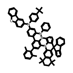 Cc1cccc(C)c1-c1cc2c3c(c1)N1c4cc5c(cc4C4(c6ccccc6-c6ccccc64)c4cccc(c41)B3N(c1ccccc1)c1cc(N(c3ccc(C(C)(C)C)cc3)c3ccc4oc6ccccc6c4c3)ccc1-2)C(C)(C)CCC5(C)C